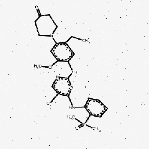 CCc1cc(Nc2ncc(Cl)c(Nc3ccccc3P(C)(C)=O)n2)c(OC)cc1N1CCC(=O)CC1